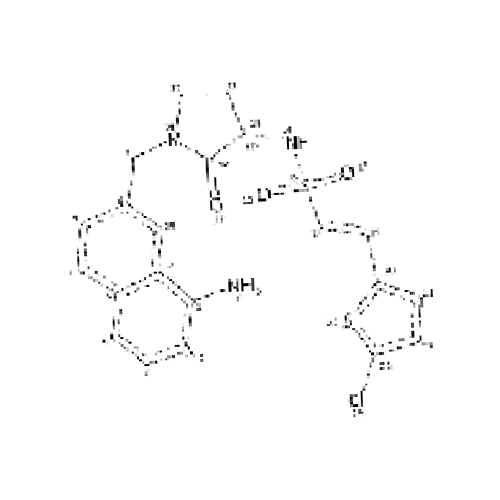 Nc1nccc2ccc(CN3CC[C@H](NS(=O)(=O)C=Cc4ccc(Cl)s4)C3=O)cc12